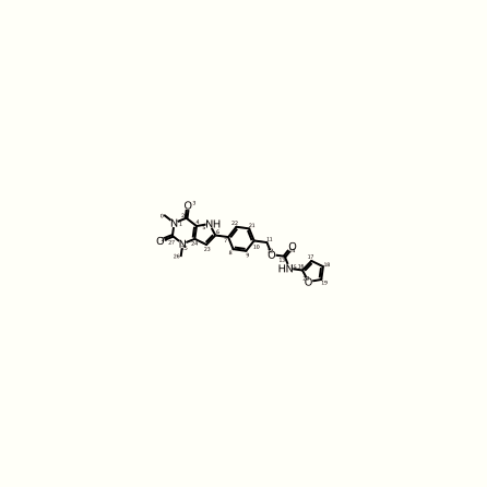 Cn1c(=O)c2[nH]c(-c3ccc(COC(=O)Nc4ccco4)cc3)cc2n(C)c1=O